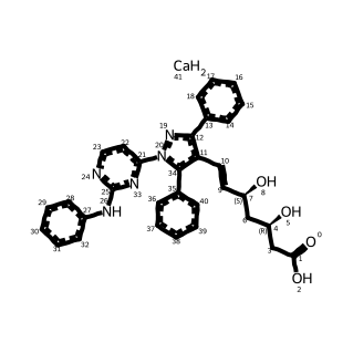 O=C(O)C[C@H](O)C[C@H](O)C=Cc1c(-c2ccccc2)nn(-c2ccnc(Nc3ccccc3)n2)c1-c1ccccc1.[CaH2]